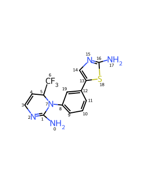 NC1=NC=CC(C(F)(F)F)N1c1cccc(-c2cnc(N)s2)c1